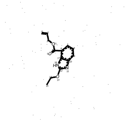 C=CCOC(=O)c1cccc2nc(OCC)[nH]c12